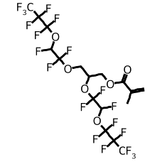 C=C(C)C(=O)OCC(COC(F)(F)C(F)OC(F)(F)C(F)(F)C(F)(F)F)OC(F)(F)C(F)OC(F)(F)C(F)(F)C(F)(F)F